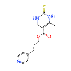 CC1=C(C(=O)OCCCc2ccncc2)CNC(=S)N1